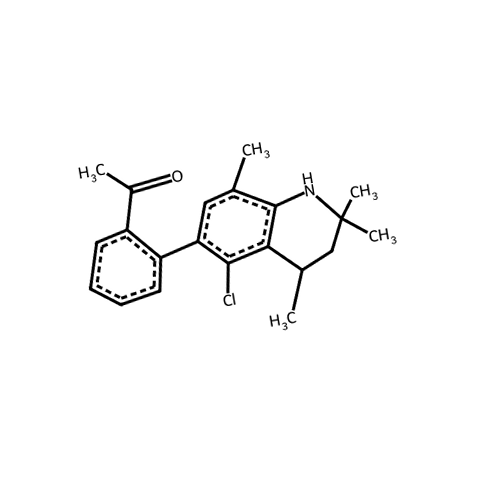 CC(=O)c1ccccc1-c1cc(C)c2c(c1Cl)C(C)CC(C)(C)N2